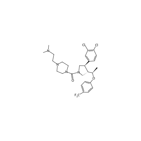 C[C@@H](Oc1ccc(C(F)(F)F)cc1)[C@@H]1CN(C(=O)N2CCN(CCN(C)C)CC2)C[C@H]1c1ccc(Cl)c(Cl)c1